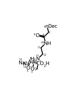 CC(=O)O.CC(=O)[O-].CC(=O)[O-].CCCCCCCCCCCC(=O)NCCN.[Na+].[Na+]